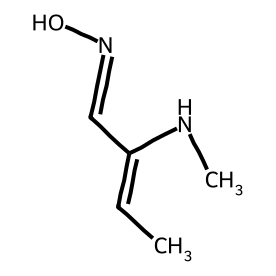 C/C=C(/C=N/O)NC